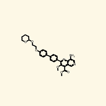 Bc1cncc2c(C(=O)OC)c(OC)c(-c3ccc(-c4ccc(OCCOC5CCCCO5)cc4)cc3)nc12